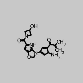 C=C(C)C(=O)C1=CC(N2COc3cc(C(=O)N4CC(O)C4)[nH]c32)=CC1N